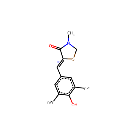 CCCc1cc(/C=C2\SCN(C)C2=O)cc(CCC)c1O